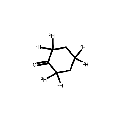 [2H]C1([2H])CC([2H])([2H])C(=O)C([2H])([2H])C1